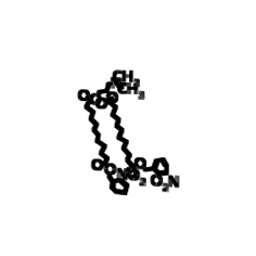 CN(C)CC(COC(=O)CCCCCCCCCCC(=O)OCc1ccccc1[N+](=O)[O-])OC(=O)CCCCCCCCCCC(=O)OCc1ccccc1[N+](=O)[O-]